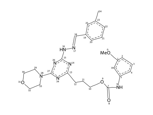 COc1cccc(NC(=O)OCCCc2nc(NN=Cc3cccc(C)c3)nc(N3CCOCC3)n2)c1